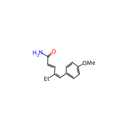 CCC(C=CC(N)=O)=Cc1ccc(OC)cc1